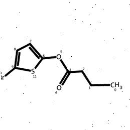 CCCC(=O)Oc1ccc(Br)s1